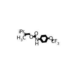 CC(C)[C@@H](C)COC(=O)Nc1ccc(OC(F)(F)F)cc1